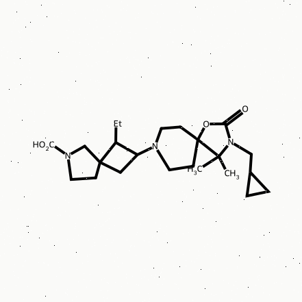 CCC1C(N2CCC3(CC2)OC(=O)N(CC2CC2)C3(C)C)CC12CCN(C(=O)O)C2